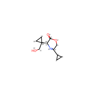 O=C1OCC(C2CC2)=N[C@H]1C1(CO)CC1